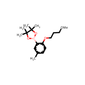 COCCCOc1ccc(C)cc1B1OC(C)(C)C(C)(C)O1